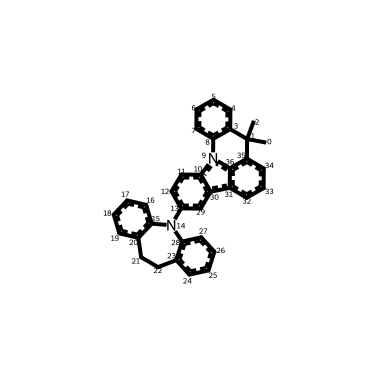 CC1(C)c2ccccc2-n2c3ccc(N4c5ccccc5CCc5ccccc54)cc3c3cccc1c32